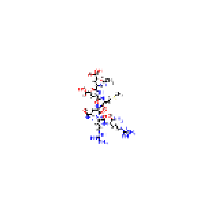 CSCCC(NC(=O)C(CCC(=O)O)NC(=O)C(CCC(=O)O)NC(C)=O)C(=O)NC(CCC(N)=O)C(=O)NC(CCCNC(=N)N)C(=O)NC(CCCNC(=N)N)C(N)=O